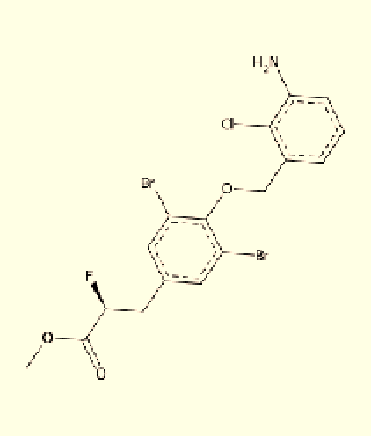 COC(=O)[C@@H](F)Cc1cc(Br)c(OCc2cccc(N)c2Cl)c(Br)c1